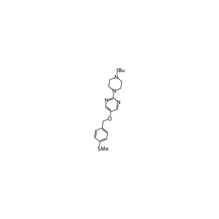 CSc1ccc(COc2cnc(N3CCN(C(C)(C)C)CC3)nc2)cc1